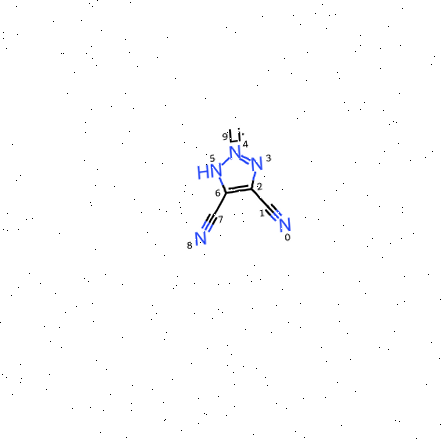 N#Cc1nn[nH]c1C#N.[Li]